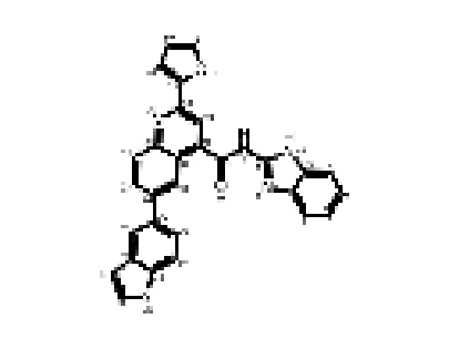 O=C(Nc1nc2ccccc2[nH]1)c1cc(-c2ccco2)nc2ccc(-c3ccc4sccc4c3)cc12